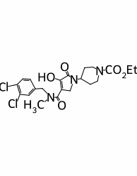 CCOC(=O)N1CCC(N2CC(C(=O)N(C)Cc3ccc(Cl)c(Cl)c3)=C(O)C2=O)CC1